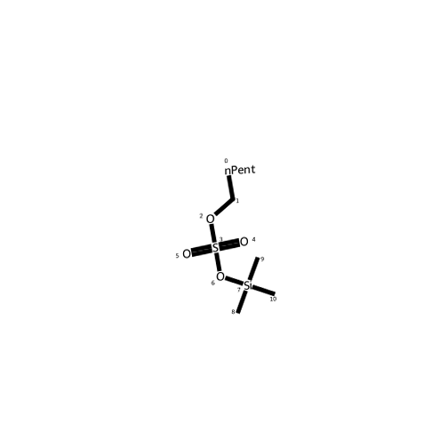 CCCCCCOS(=O)(=O)O[Si](C)(C)C